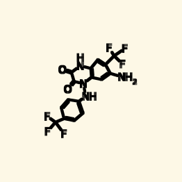 Nc1cc2c(cc1C(F)(F)F)[nH]c(=O)c(=O)n2Nc1ccc(C(F)(F)F)cc1